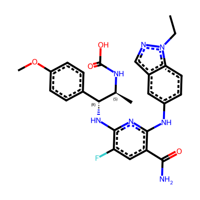 CCn1ncc2cc(Nc3nc(N[C@H](c4ccc(OC)cc4)[C@H](C)NC(=O)O)c(F)cc3C(N)=O)ccc21